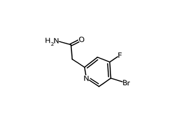 NC(=O)Cc1cc(F)c(Br)cn1